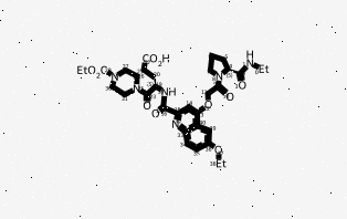 CCNC(=O)[C@@H]1CCCN1C(=O)COc1cc(C(=O)N[C@@H](CCC(=O)O)C(=O)N2CCN(C(=O)OCC)CC2)nc2ccc(OCC)cc12